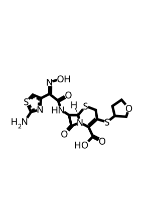 Nc1nc(/C(=N/O)C(=O)NC2C(=O)N3C(C(=O)O)=C(SC4CCOC4)CS[C@H]23)cs1